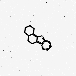 c1ccc2c(c1)=NC1=C3CCCCC3CCC=21